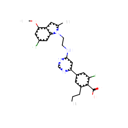 CCCc1cc(-c2cc(NCCn3c(C)cc4c(OC)cc(Cl)cc43)ncn2)cc(F)c1C(=O)O